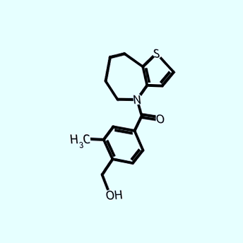 Cc1cc(C(=O)N2CCCCc3sccc32)ccc1CO